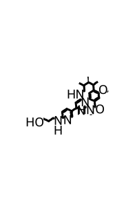 CNC(=O)c1ccc(C(C)[C@H](C)C(C)CNc2cc(-c3ccc(NCCCO)nc3)ncn2)c(OC)c1